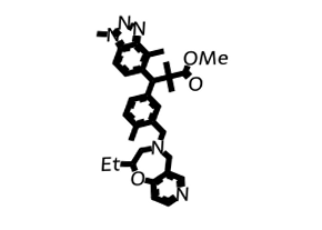 CCC1CN(Cc2cc(C(c3ccc4c(nnn4C)c3C)C(C)(C)C(=O)OC)ccc2C)Cc2cnccc2O1